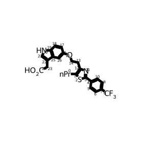 CCCc1sc(-c2ccc(C(F)(F)F)cc2)nc1CCOc1ccc2[nH]cc(CC(=O)O)c2c1